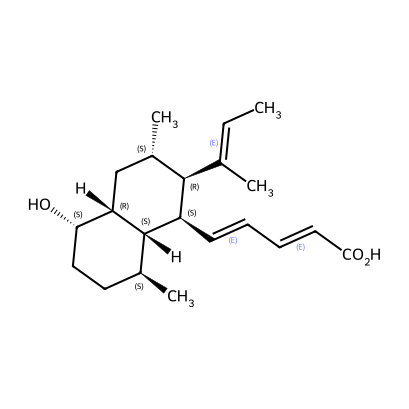 C/C=C(\C)[C@H]1[C@@H](/C=C/C=C/C(=O)O)[C@H]2[C@@H](C[C@@H]1C)[C@@H](O)CC[C@@H]2C